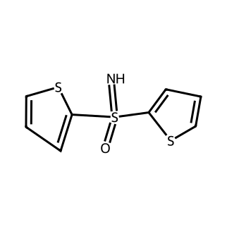 N=S(=O)(c1cccs1)c1cccs1